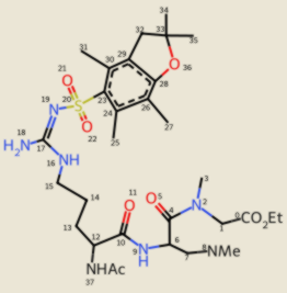 CCOC(=O)CN(C)C(=O)C(CNC)NC(=O)C(CCCNC(N)=NS(=O)(=O)c1c(C)c(C)c2c(c1C)CC(C)(C)O2)NC(C)=O